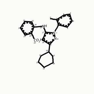 Cc1ccccc1-n1nc(C2CCCCC2)cc1Nc1ccccc1C(=O)O